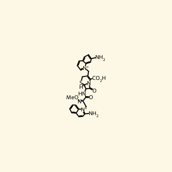 CO/N=C(/C[n+]1c(N)ccc2ccccc21)C(=O)NC1C(=O)N2C(C(=O)O)=C(C[n+]3cccc4ccc(N)cc43)CS[C@H]12